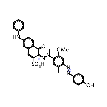 COc1cc(/N=N/c2ccc(O)cc2)c(C)cc1N/N=C1\C(=O)c2ccc(Nc3ccccc3)cc2C=C1S(=O)(=O)O